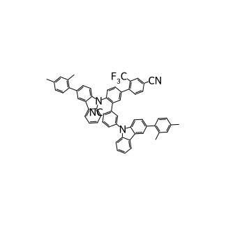 Cc1ccc(-c2ccc3c(c2)c2ccccc2n3-c2ccc(C#N)c(-c3cc(-c4ccc(C#N)cc4C(F)(F)F)ccc3-n3c4ccccc4c4cc(-c5ccc(C)cc5C)ccc43)c2)c(C)c1